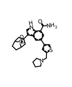 NC(=O)c1cc(-c2csc(CN3CCCC3)c2)cc2c(C3CC4CCC(C3)S4(=O)=O)c[nH]c12